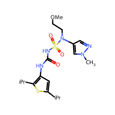 COCCN(c1cnn(C)c1)S(=O)(=O)NC(=O)Nc1cc(C(C)C)sc1C(C)C